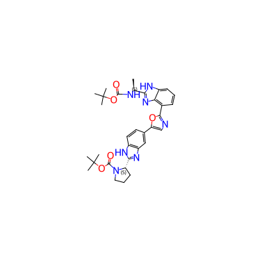 C[C@H](NC(=O)OC(C)(C)C)c1nc2c(-c3ncc(-c4ccc5[nH]c([C@@H]6CCCN6C(=O)OC(C)(C)C)nc5c4)o3)cccc2[nH]1